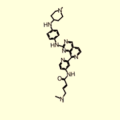 CN(C)C/C=C/C(=O)Nc1ccnc(-c2nccc3cnc(Nc4ccc(NC5CCN(C)CC5)cc4)nc23)c1